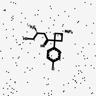 C[C@@H](CO)CC(=N)C1(c2ccc(Cl)cc2)CCC1.[MgH2]